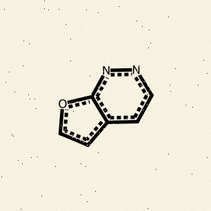 c1cc2ccoc2nn1